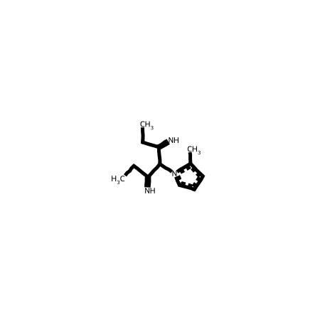 CCC(=N)C(C(=N)CC)n1cccc1C